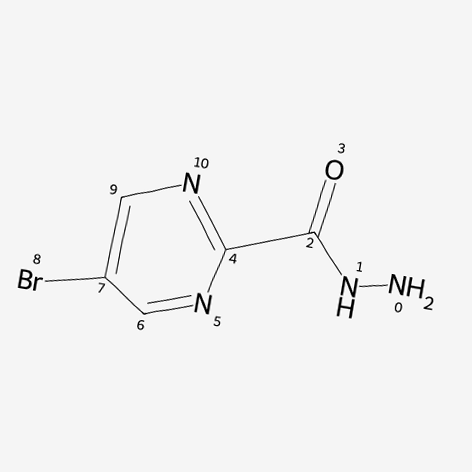 NNC(=O)c1ncc(Br)cn1